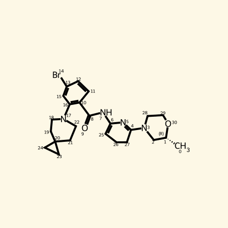 C[C@@H]1CN(C2=NC(NC(=O)c3ccc(Br)cc3N3CCC4(CC3)CC4)=CCC2)CCO1